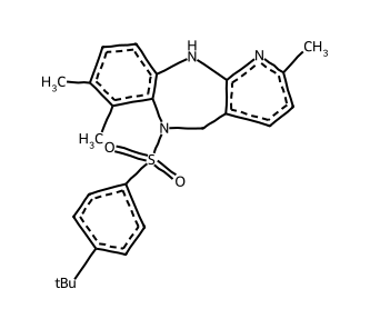 Cc1ccc2c(n1)Nc1ccc(C)c(C)c1N(S(=O)(=O)c1ccc(C(C)(C)C)cc1)C2